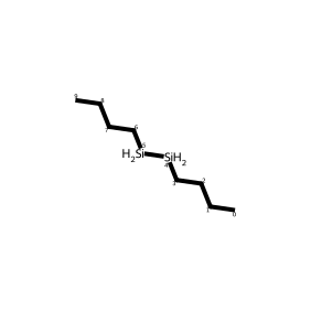 CCCC[SiH2][SiH2]CCCC